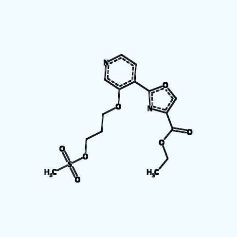 CCOC(=O)c1coc(-c2ccncc2OCCCOS(C)(=O)=O)n1